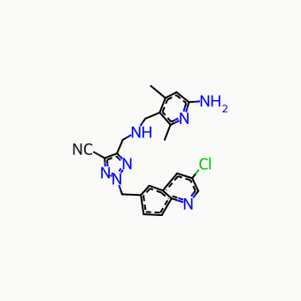 Cc1cc(N)nc(C)c1CNCc1nn(Cc2ccc3ncc(Cl)cc3c2)nc1C#N